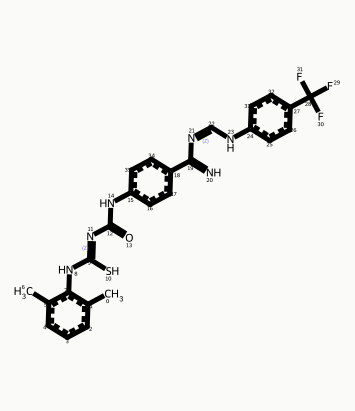 Cc1cccc(C)c1N/C(S)=N/C(=O)Nc1ccc(C(=N)/N=C\Nc2ccc(C(F)(F)F)cc2)cc1